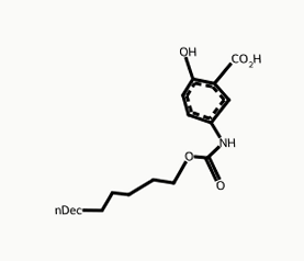 CCCCCCCCCCCCCCCOC(=O)Nc1ccc(O)c(C(=O)O)c1